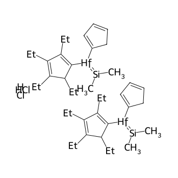 CCC1=C(CC)C(CC)[C]([Hf]([C]2=CC=CC2)=[Si](C)C)=C1CC.CCC1=C(CC)C(CC)[C]([Hf]([C]2=CC=CC2)=[Si](C)C)=C1CC.Cl.Cl